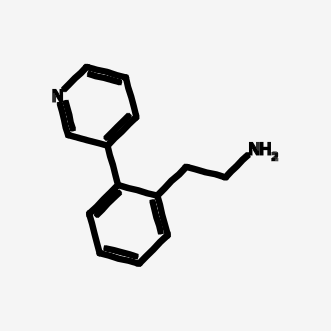 NCCc1ccccc1-c1cccnc1